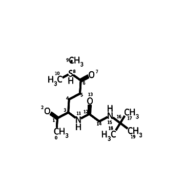 CC(=O)C(CCC(=O)[SH](C)C)NC(=O)CNC(C)(C)C